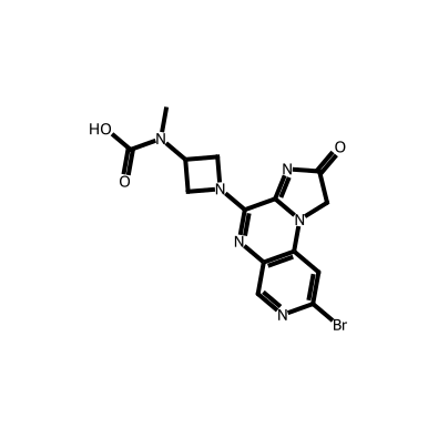 CN(C(=O)O)C1CN(C2=Nc3cnc(Br)cc3N3CC(=O)N=C23)C1